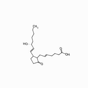 CCCCC[C@@H](O)/C=C/C1CCC(=O)C1C/C=C/CCCC(=O)O